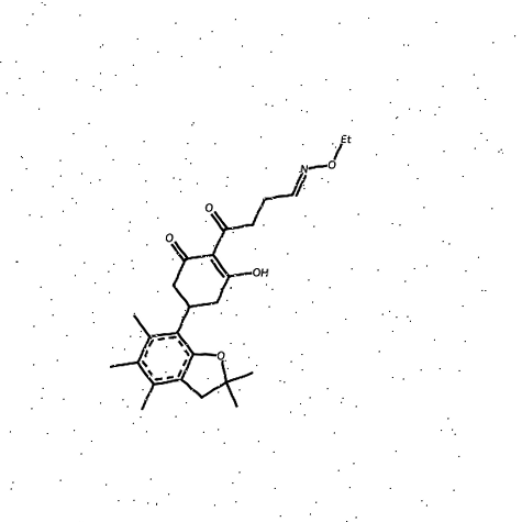 CCON=CCCC(=O)C1=C(O)CC(c2c(C)c(C)c(C)c3c2OC(C)(C)C3)CC1=O